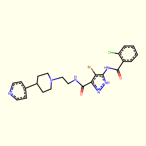 O=C(Nc1[nH]nc(C(=O)NCCN2CCC(c3ccncc3)CC2)c1Br)c1ccccc1Cl